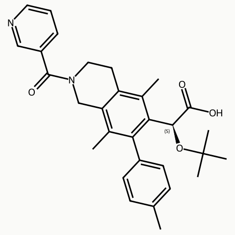 Cc1ccc(-c2c(C)c3c(c(C)c2[C@H](OC(C)(C)C)C(=O)O)CCN(C(=O)c2cccnc2)C3)cc1